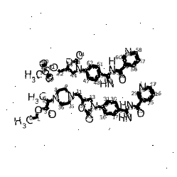 CCOC(=O)C(C)N1CCN(CC2CN(c3ccc(C(=N)NC(=O)c4cccnc4)cc3)C(=O)O2)CC1.CS(=O)(=O)OCC1CN(c2ccc(C(=N)NC(=O)c3cccnc3)cc2)C(=O)O1